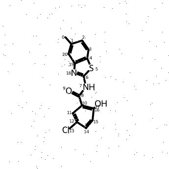 Cc1ccc2sc(NC(=O)c3cc(Cl)ccc3O)nc2c1